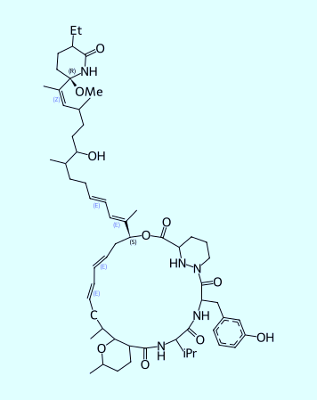 CCC1CC[C@@](OC)(/C(C)=C\C(C)CCC(O)C(C)CC/C=C/C=C(\C)[C@@H]2C/C=C/C=C/CC(C)C3OC(C)CCC3C(=O)NC(C(C)C)C(=O)NC(Cc3cccc(O)c3)C(=O)N3CCCC(N3)C(=O)O2)NC1=O